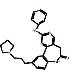 O=C1Cc2cnc(Nc3ccccc3)nc2-c2cc(CCCN3CCCC3)ccc2N1